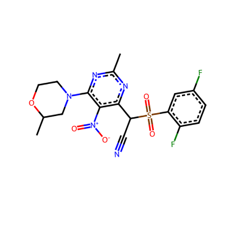 Cc1nc(C(C#N)S(=O)(=O)c2cc(F)ccc2F)c([N+](=O)[O-])c(N2CCOC(C)C2)n1